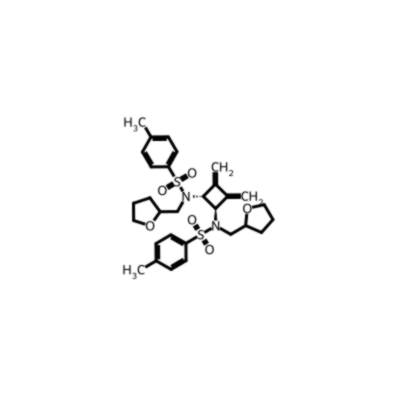 C=C1C(=C)[C@@H](N(CC2CCCO2)S(=O)(=O)c2ccc(C)cc2)[C@@H]1N(CC1CCCO1)S(=O)(=O)c1ccc(C)cc1